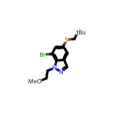 COCCn1ncc2cc(SCC(C)(C)C)cc(Br)c21